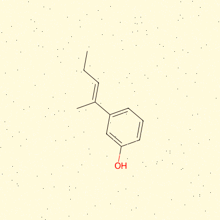 CC/C=C(\C)c1cccc(O)c1